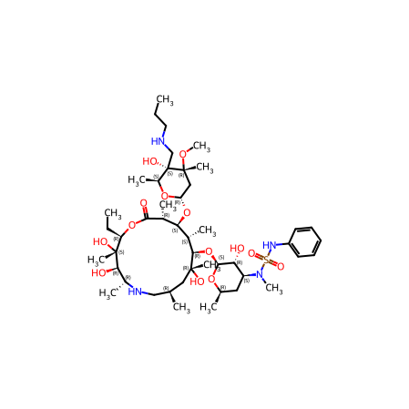 CCCNC[C@]1(O)[C@H](C)O[C@@H](O[C@H]2[C@H](C)[C@@H](O[C@@H]3O[C@H](C)C[C@H](N(C)S(=O)(=O)Nc4ccccc4)[C@H]3O)[C@](C)(O)C[C@@H](C)CN[C@H](C)[C@@H](O)[C@](C)(O)[C@@H](CC)OC(=O)[C@@H]2C)C[C@@]1(C)OC